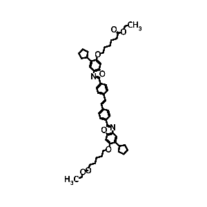 CCOOCCCCCOc1cc2oc(-c3ccc(C=Cc4ccc(-c5nc6cc(C7CCCC7)c(OCCCCCC(=O)OCC)cc6o5)cc4)cc3)nc2cc1C1CCCC1